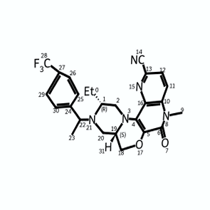 CC[C@@H]1CN2c3c(c(=O)n(C)c4ccc(C#N)nc34)OC[C@@H]2CN1C(C)c1ccc(C(F)(F)F)cc1